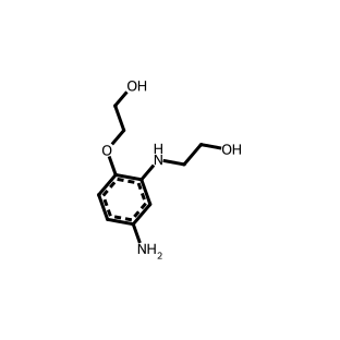 Nc1ccc(OCCO)c(NCCO)c1